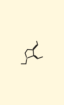 C/C=C1\CCN(CC)\C1=C\C